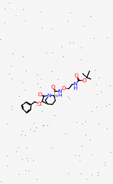 CC(C)(C)OC(=O)NCCONC(=O)[C@@H]1CCC2CN1C(=O)C2OCc1ccccc1